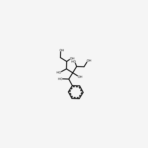 OCC(O)C(O)C(O)(C(O)CO)C(O)c1ccccc1